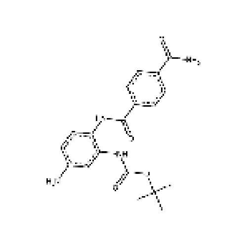 CC(C)(C)OC(=O)Nc1cc(N)ccc1NC(=O)c1ccc(C(N)=O)cc1